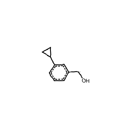 O[CH]c1cccc(C2CC2)c1